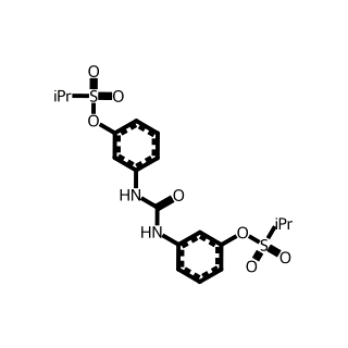 CC(C)S(=O)(=O)Oc1cccc(NC(=O)Nc2cccc(OS(=O)(=O)C(C)C)c2)c1